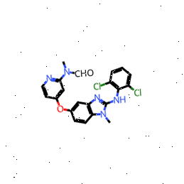 CN(C=O)c1cc(Oc2ccc3c(c2)nc(Nc2c(Cl)cccc2Cl)n3C)ccn1